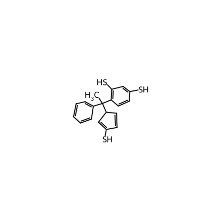 CC(c1ccccc1)(c1ccc(S)cc1S)C1C=CC(S)=C1